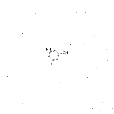 Cc1cccc(O)c1.N